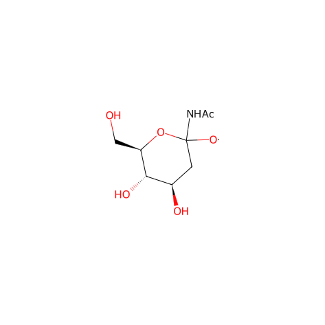 CC(=O)NC1([O])C[C@@H](O)[C@H](O)[C@@H](CO)O1